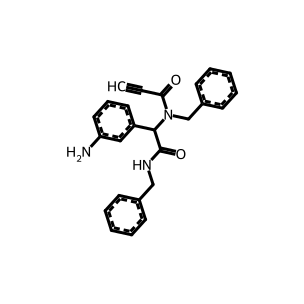 C#CC(=O)N(Cc1ccccc1)C(C(=O)NCc1ccccc1)c1cccc(N)c1